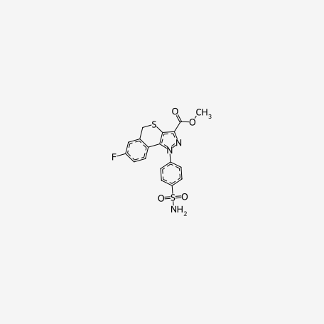 COC(=O)c1nn(-c2ccc(S(N)(=O)=O)cc2)c2c1SCc1cc(F)ccc1-2